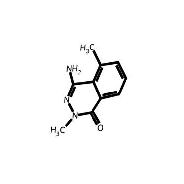 Cc1cccc2c(=O)n(C)nc(N)c12